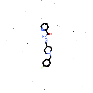 O=C(NN=CC1CCN(Cc2ccc(F)cc2)CC1)c1ccccn1